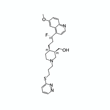 COc1ccc2nccc([C@@H](F)CC[C@@H]3CCN(CCCSc4cccnn4)C[C@@H]3CO)c2c1